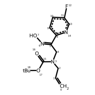 C=CCN(C/C(=N/O)c1ccc(F)cn1)C(=O)OC(C)(C)C